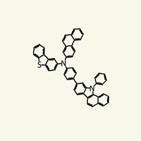 c1ccc(-n2c3cc(-c4ccc(N(c5ccc6c(ccc7ccccc76)c5)c5ccc6sc7ccccc7c6c5)cc4)ccc3c3ccc4ccccc4c32)cc1